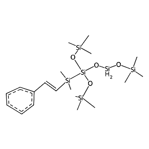 C[Si](C)(C)O[SiH2]O[Si](O[Si](C)(C)C)(O[Si](C)(C)C)[Si](C)(C)C=Cc1ccccc1